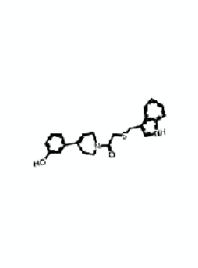 O=C(CSCc1c[nH]c2ccccc12)N1CC=C(c2cccc(O)c2)CC1